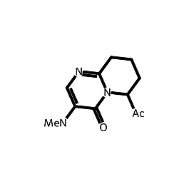 CNc1cnc2n(c1=O)C(C(C)=O)CCC2